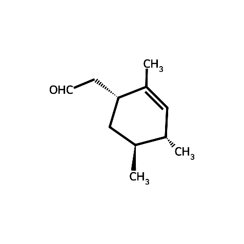 CC1=C[C@H](C)[C@@H](C)C[C@@H]1CC=O